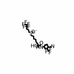 CC(O)(CCCCCC[S+]([O-])CCCC(F)(F)C(F)(F)F)C(=O)Nc1ccc(C#N)c(C(F)(F)F)c1